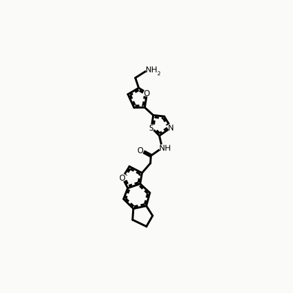 NCc1ccc(-c2cnc(NC(=O)Cc3coc4cc5c(cc34)CCC5)s2)o1